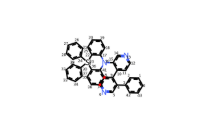 c1ccc(-c2cnccc2-c2ccncc2N2c3ccccc3[Si](c3ccccc3)(c3ccccc3)c3ccccc32)cc1